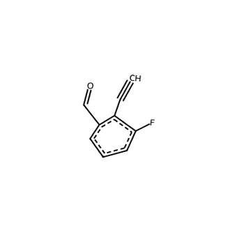 C#Cc1c(F)cccc1C=O